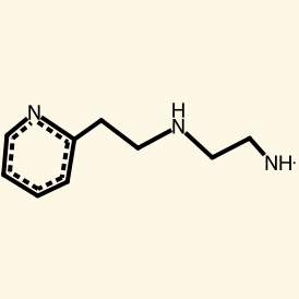 [NH]CCNCCc1ccccn1